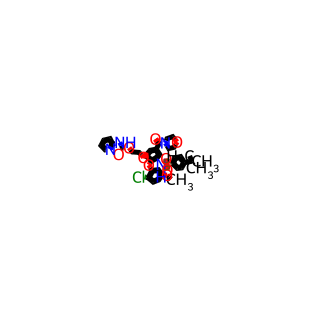 COc1ccc(Cl)c(Oc2c(NS(=O)(=O)c3ccc(C(C)(C)C)cc3)cc(C(=O)N3CCOCC3)cc2OCCOC(=O)Nc2ccccn2)c1